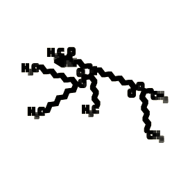 CCCCCCCCC(CC)OC(=O)CCCCCCCN(CCCNC(=O)C1(C)CC1)C(CCCCCC)C(=O)OC(CCCCCCCC)CCCCCCCC